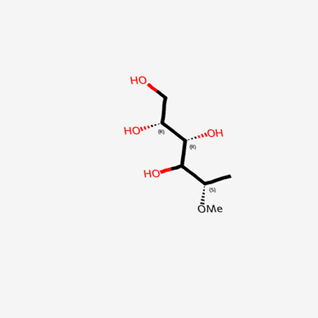 CO[C@@H](C)[C](O)[C@@H](O)[C@H](O)CO